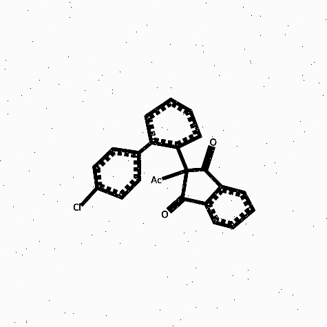 CC(=O)C1(c2ccccc2-c2ccc(Cl)cc2)C(=O)c2ccccc2C1=O